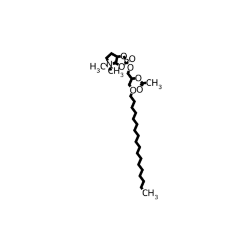 CCCCCCCCCCCCCCCCCCOCC(COP1(=O)OC2CC[N+](C)(C)C2O1)OC(C)=O